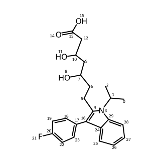 CC(C)n1c(CCC(O)CC(O)CC(=O)O)c(-c2ccc(F)cc2)c2ccccc21